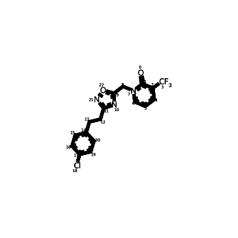 O=c1c(C(F)(F)F)cccn1Cc1nc(CCc2ccc(Cl)cc2)no1